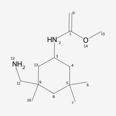 C=C(NC1CC(C)(C)CC(C)(CN)C1)OC